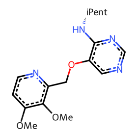 CCC[C@@H](C)Nc1ncncc1OCc1nccc(OC)c1OC